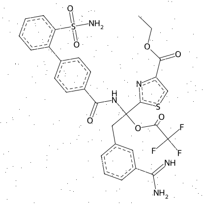 CCOC(=O)c1csc(C(Cc2cccc(C(=N)N)c2)(NC(=O)c2ccc(-c3ccccc3S(N)(=O)=O)cc2)OC(=O)C(F)(F)F)n1